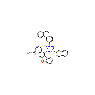 C=C/C=C\C=C/Cc1ccc2oc3ccccc3c2c1-c1nc(-c2ccc3ccccc3c2)nc(-c2ccc3ccc4ccccc4c3c2)n1